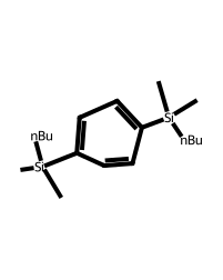 CCCC[Si](C)(C)c1ccc([Si](C)(C)CCCC)cc1